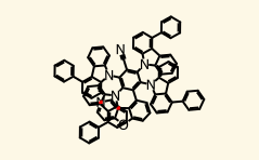 N#Cc1c(-n2c3ccccc3c3c(-c4ccccc4)cccc32)c(-n2c3ccccc3c3c(-c4ccccc4)cccc32)c(-c2cccc3oc4ccncc4c23)c(-n2c3ccccc3c3c(-c4ccccc4)cccc32)c1-n1c2ccccc2c2c(-c3ccccc3)cccc21